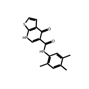 Cc1cc(C)c(NC(=O)c2c[nH]c3sccc3c2=O)cc1C